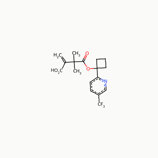 C=C(C(=O)O)C(C)(C)C(=O)OC1(c2ccc(C(F)(F)F)cn2)CCC1